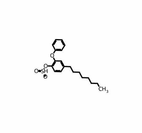 CCCCCCCCc1ccc(O[SH](=O)=O)c(Oc2ccccc2)c1